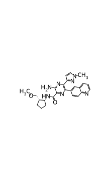 COC[C@H]1CCC[C@H]1NC(=O)c1nc(-c2ccc3ncccc3c2)c(-c2ccn(C)n2)nc1N